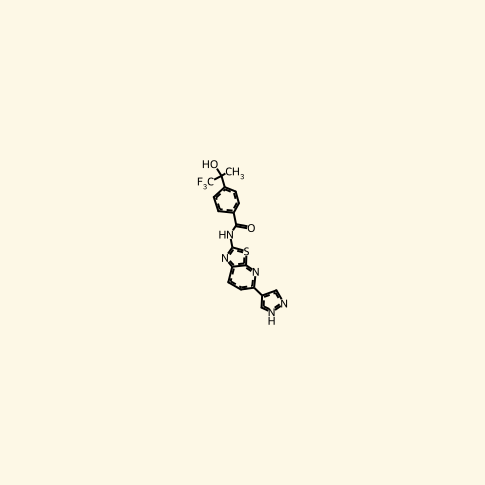 CC(O)(c1ccc(C(=O)Nc2nc3ccc(-c4cn[nH]c4)nc3s2)cc1)C(F)(F)F